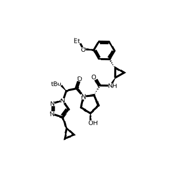 CCOc1cccc([C@@H]2C[C@H]2NC(=O)[C@@H]2C[C@@H](O)CN2C(=O)[C@@H](n2cc(C3CC3)nn2)C(C)(C)C)c1